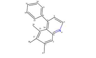 Cc1cc2nccc(-c3ccccc3)c2c(C)c1C